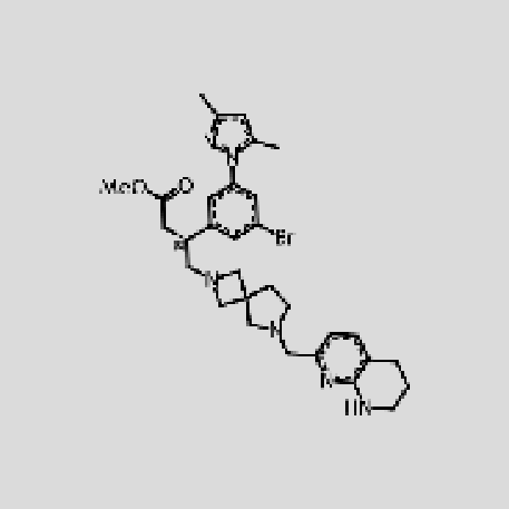 COC(=O)C[C@H](CN1CC2(CCN(Cc3ccc4c(n3)NCCC4)C2)C1)c1cc(Br)cc(-n2nc(C)cc2C)c1